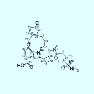 C[C@H]([C@@H](C)CC(=O)N(C)C[C@@H]1CC[C@H]1CN1CCCCc2cc(Cl)ccc2COc2ccc(C(=O)O)cc21)S(N)(=O)=O